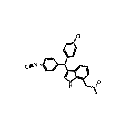 [C-]#[N+]c1ccc(C(c2ccc(Cl)cc2)c2c[nH]c3c(C[S+](C)[O-])cccc23)cc1